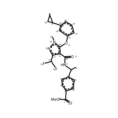 COC(=O)c1ccc(C(C)NC(=O)c2c(C(F)F)nn(C)c2Oc2cccc(C3CC3)c2)cc1